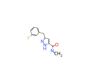 C=NC(=O)c1cc(Cc2cccc(F)c2)n[nH]1